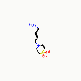 NCC=CCN1CCS(O)(O)CC1